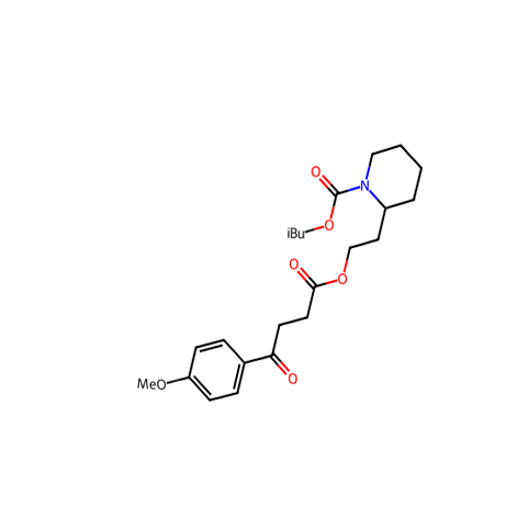 CCC(C)OC(=O)N1CCCCC1CCOC(=O)CCC(=O)c1ccc(OC)cc1